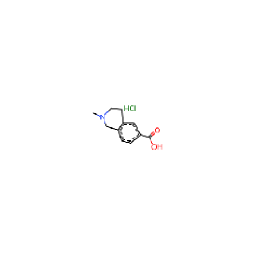 CN1CCc2cc(C(=O)O)ccc2C1.Cl